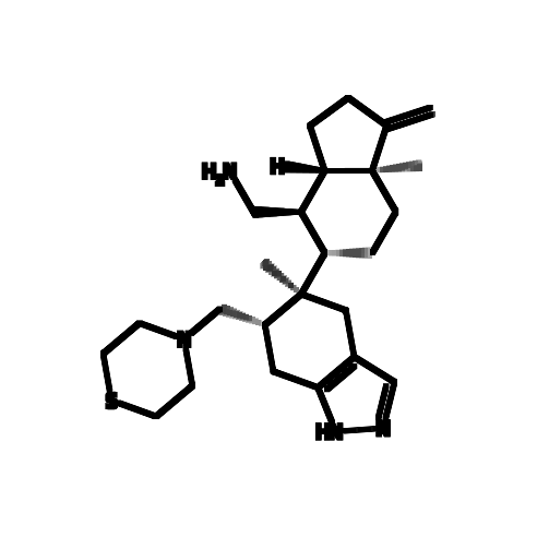 C=C1CC[C@H]2[C@H](CN)[C@@H]([C@@]3(C)Cc4cn[nH]c4C[C@@H]3CN3CCSCC3)CC[C@]12C